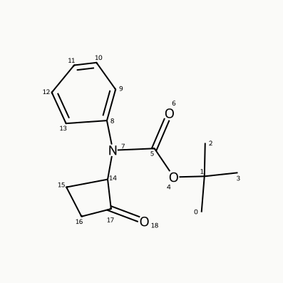 CC(C)(C)OC(=O)N(c1ccccc1)C1CCC1=O